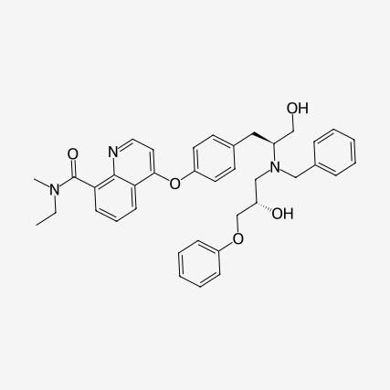 CCN(C)C(=O)c1cccc2c(Oc3ccc(C[C@@H](CO)N(Cc4ccccc4)C[C@H](O)COc4ccccc4)cc3)ccnc12